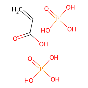 C=CC(=O)O.O=P(O)(O)O.O=P(O)(O)O